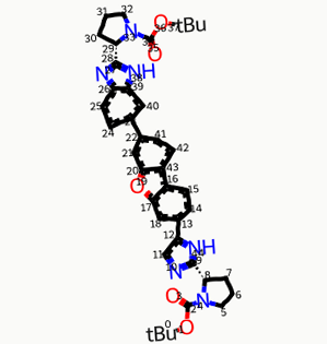 CC(C)(C)OC(=O)N1CCC[C@H]1c1ncc(-c2ccc3c(c2)oc2cc(-c4ccc5nc([C@@H]6CCCN6C(=O)OC(C)(C)C)[nH]c5c4)ccc23)[nH]1